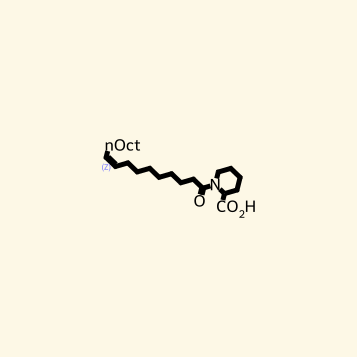 CCCCCCCC/C=C\CCCCCCCC(=O)N1CCCCC1C(=O)O